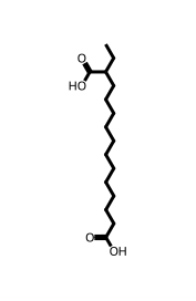 CCC(CCCCCCCCCCCC(=O)O)C(=O)O